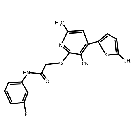 Cc1cc(-c2ccc(C)s2)c(C#N)c(SCC(=O)Nc2cccc(F)c2)n1